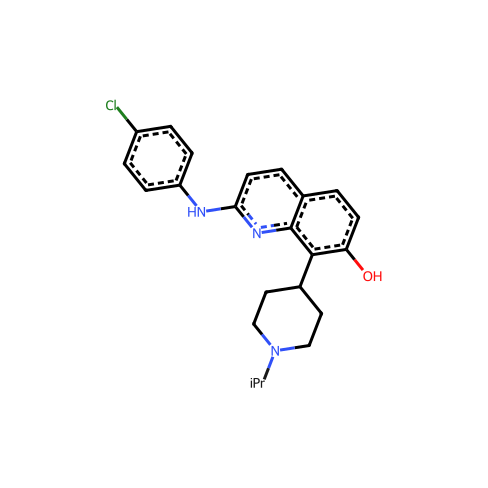 CC(C)N1CCC(c2c(O)ccc3ccc(Nc4ccc(Cl)cc4)nc23)CC1